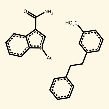 CC(=O)n1cc(C(N)=O)c2ccccc21.O=C(O)c1cccc(CCc2ccccc2)c1